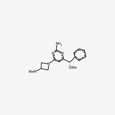 CNC1CN(c2cc([C@@H](OC)c3ccccc3)nc(N)n2)C1